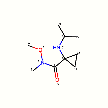 CON(C)C(=O)C1(NC(C)C)CC1